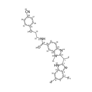 CC(c1nc2c(F)cc(F)cc2[nH]1)c1nc2ccc(C(=O)NCCOc3ccc(C#N)cc3)cc2n1C